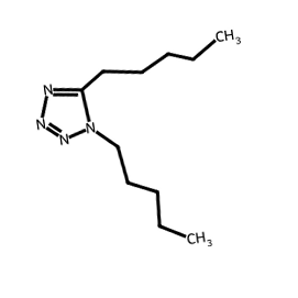 CCCCCc1nnnn1CCCCC